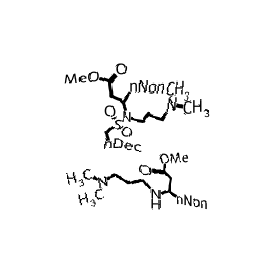 CCCCCCCCCC(CC(=O)OC)NCCCN(C)C.CCCCCCCCCCCS(=O)(=O)N(CCCN(C)C)C(CCCCCCCCC)CC(=O)OC